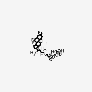 CC(CCC(=O)NCCS(=O)(=O)OCOP(=O)(O)O)C1CCC2C3C(CCC12C)C1(C)CCC(F)(F)CC1CC3(F)F